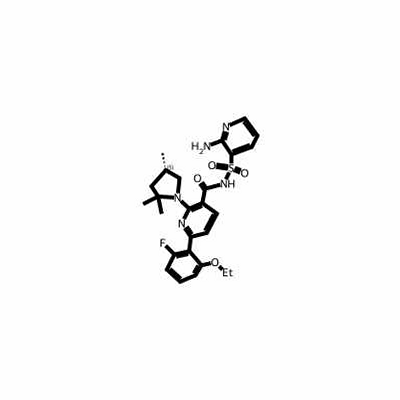 CCOc1cccc(F)c1-c1ccc(C(=O)NS(=O)(=O)c2cccnc2N)c(N2C[C@@H](C)CC2(C)C)n1